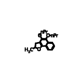 CCCOc1c2c(c3ccccc3c1OCCC)OC(C)C2